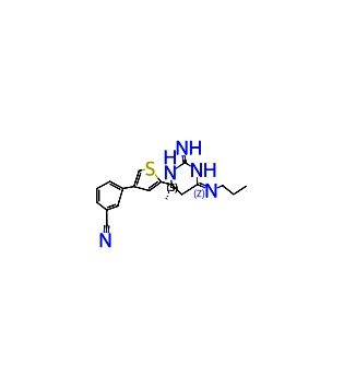 CCC/N=C1/C[C@@](C)(c2cc(-c3cccc(C#N)c3)cs2)NC(=N)N1